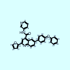 O=C(Nc1cccnc1)c1cc(-c2ccco2)nc2ccc(-c3ccc(Oc4ccccc4)cc3)cc12